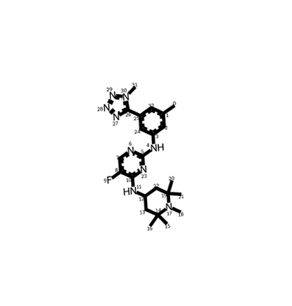 Cc1cc(Nc2ncc(F)c(NC3CC(C)(C)N(C)C(C)(C)C3)n2)cc(-c2nnnn2C)c1